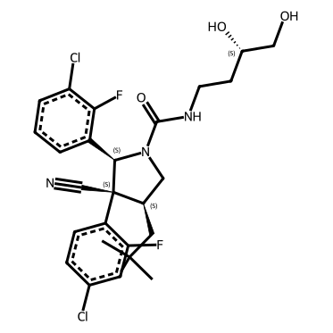 CC(C)(C)C[C@@H]1CN(C(=O)NCC[C@H](O)CO)[C@H](c2cccc(Cl)c2F)[C@@]1(C#N)c1ccc(Cl)cc1F